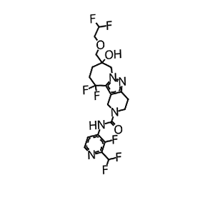 O=C(Nc1ccnc(C(F)F)c1F)N1CCc2nn3c(c2C1)C(F)(F)CCC(O)(COCC(F)F)C3